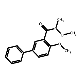 COc1ccc(-c2ccccc2)cc1C(=O)N(C)OC